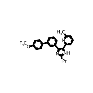 Cc1cccc(-c2[nH]c(C(C)C)nc2-c2cccc(-c3ccc(OC(F)(F)F)cc3)c2)n1